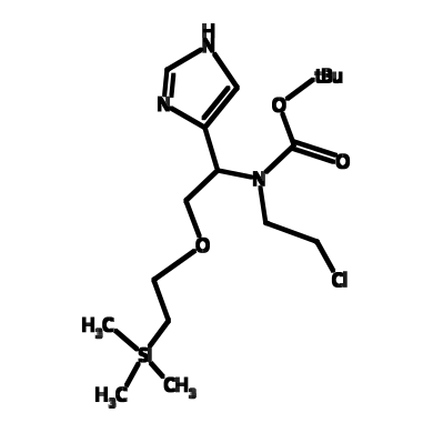 CC(C)(C)OC(=O)N(CCCl)C(COCC[Si](C)(C)C)c1c[nH]cn1